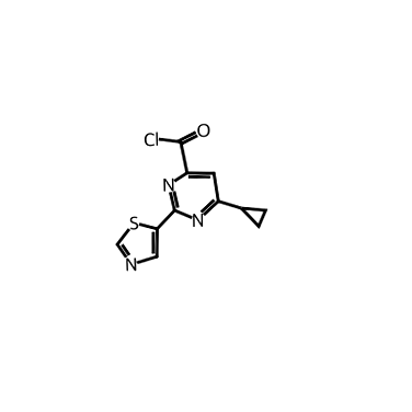 O=C(Cl)c1cc(C2CC2)nc(-c2cncs2)n1